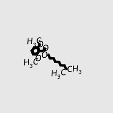 COc1cccc(OC)c1C(=O)OCCCCCCCC(C)C